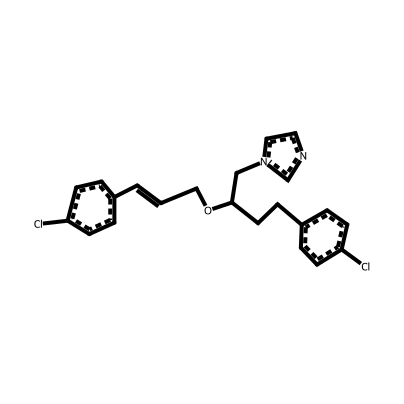 Clc1ccc(C=CCOC(CCc2ccc(Cl)cc2)Cn2ccnc2)cc1